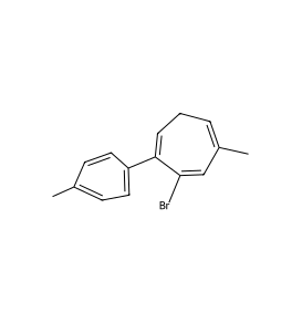 CC1=CCC=C(c2ccc(C)cc2)C(Br)=C1